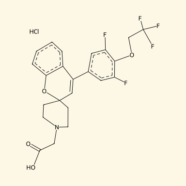 Cl.O=C(O)CN1CCC2(C=C(c3cc(F)c(OCC(F)(F)F)c(F)c3)c3ccccc3O2)CC1